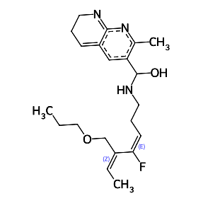 C/C=C(COCCC)\C(F)=C/CCNC(O)c1cc2c(nc1C)=NCCC=2